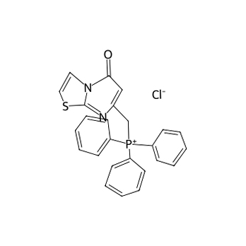 O=c1cc(C[P+](c2ccccc2)(c2ccccc2)c2ccccc2)nc2sccn12.[Cl-]